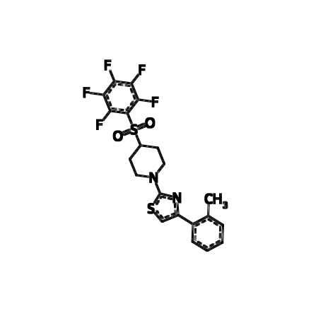 Cc1ccccc1-c1csc(N2CCC(S(=O)(=O)c3c(F)c(F)c(F)c(F)c3F)CC2)n1